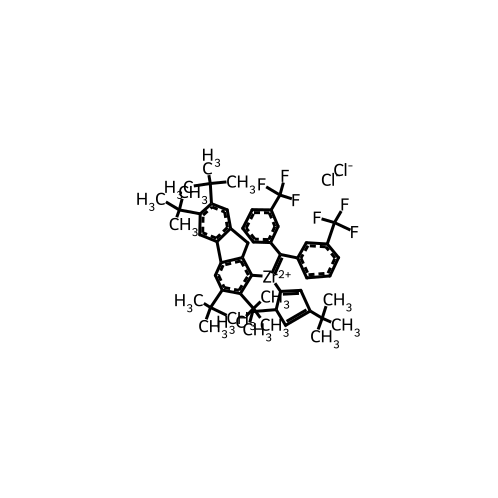 CCC1C=C(C(C)(C)C)C=[C]1[Zr+2](=[C](c1cccc(C(F)(F)F)c1)c1cccc(C(F)(F)F)c1)[c]1c2c(cc(C(C)(C)C)c1C(C)(C)C)-c1cc(C(C)(C)C)c(C(C)(C)C)cc1C2.[Cl-].[Cl-]